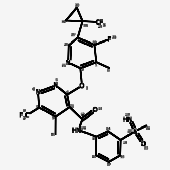 Cc1c(Oc2nnc(C(F)(F)F)c(C)c2C(=O)Nc2cccc(S(C)(=N)=O)c2)ncc(C2(C(F)(F)F)CC2)c1F